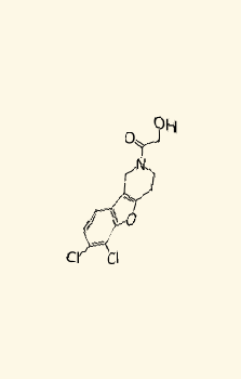 O=C(CO)N1CCc2oc3c(Cl)c(Cl)ccc3c2C1